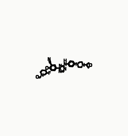 N#Cc1cc(-c2ncnc(Nc3ccc(N4CCN(C5COC5)CC4)cc3)n2)ccc1OC1CCN(C=O)CC1F